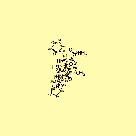 Cc1cc(C(N)=O)cc(C)c1C(=O)NC1CC2CCC(C1)N2c1ccc(C(=O)NCc2ccccc2)cn1